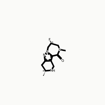 C[C@@H]1Cc2nn3c(c2CN1)C(=O)N(C)C[C@@H](F)C3